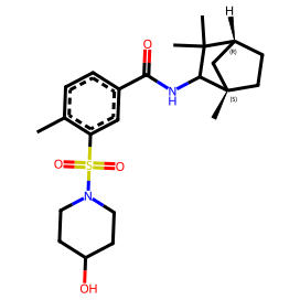 Cc1ccc(C(=O)NC2C(C)(C)[C@@H]3CC[C@@]2(C)C3)cc1S(=O)(=O)N1CCC(O)CC1